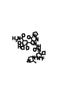 COc1c(-c2cn(CC(=O)Nc3cc(N4CCN(C)C[C@@H]4C)nc(F)c3Cl)c3nc4n(c(=O)c23)CCC4)cc(C(N)=O)c(O)c1Cl